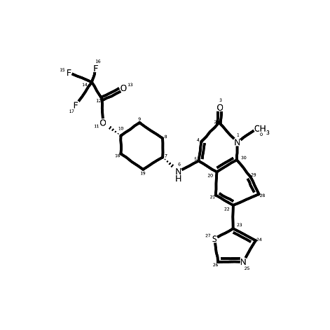 Cn1c(=O)cc(N[C@H]2CC[C@@H](OC(=O)C(F)(F)F)CC2)c2cc(-c3cncs3)ccc21